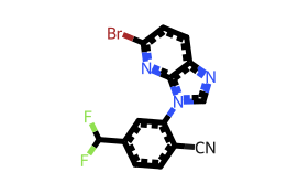 N#Cc1ccc(C(F)F)cc1-n1cnc2ccc(Br)nc21